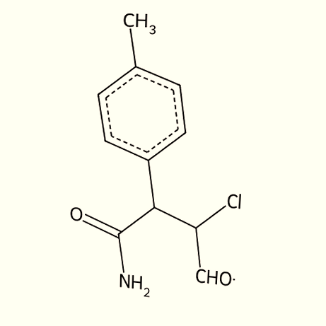 Cc1ccc(C(C(N)=O)C(Cl)[C]=O)cc1